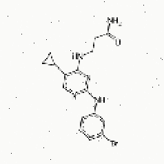 NC(=O)CCNc1nc(Nc2cccc(Br)c2)ncc1C1CC1